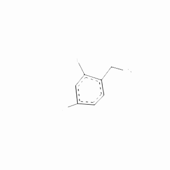 N#CCc1ccc(C(F)(F)F)cc1I